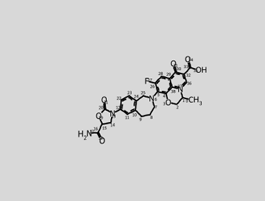 CC1COc2c(N3CCCc4cc(N5CC(C(N)=O)OC5=O)ccc4C3)c(F)cc3c(=O)c(C(=O)O)cn1c23